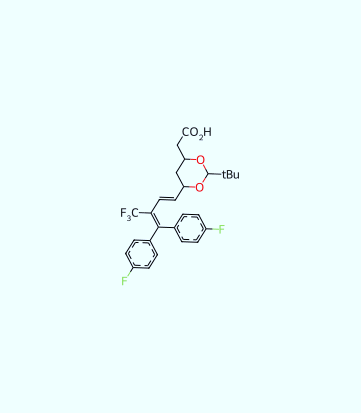 CC(C)(C)C1OC(C=CC(=C(c2ccc(F)cc2)c2ccc(F)cc2)C(F)(F)F)CC(CC(=O)O)O1